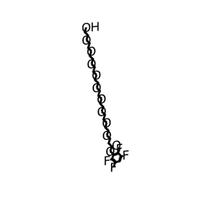 O=C(CCOCCOCCOCCOCCOCCOCCOCCOCCOCCO)Oc1c(F)c(F)cc(F)c1F